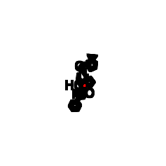 O=C(N1CCCC2(CC2)C1)N1CCC(O)(Cn2cnc(-c3ccccc3)cc2=O)C2(CCCC2)C1